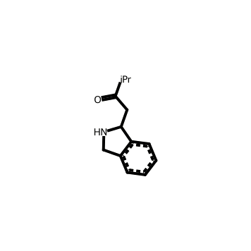 CC(C)C(=O)CC1NCc2ccccc21